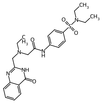 CCN(CC(=O)Nc1ccc(S(=O)(=O)N(CC)CC)cc1)Cc1nc2ccccc2c(=O)[nH]1